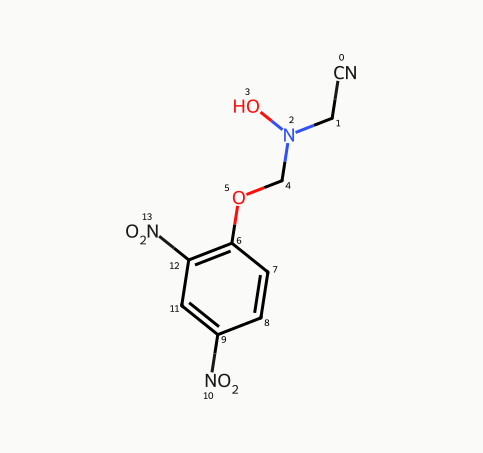 N#CCN(O)COc1ccc([N+](=O)[O-])cc1[N+](=O)[O-]